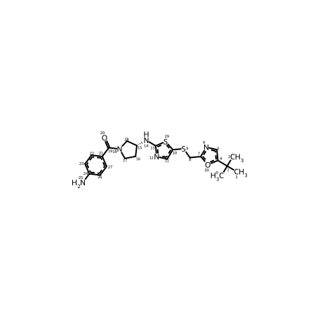 CC(C)(C)c1cnc(CSc2cnc(N[C@@H]3CCN(C(=O)c4ccc(N)cc4)C3)s2)o1